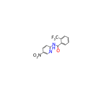 O=C(Nc1ccc([N+](=O)[O-])cn1)c1ccccc1C(F)(F)F